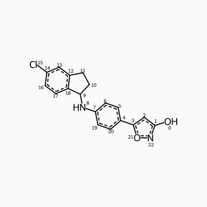 Oc1cc(-c2ccc(NC3CCc4cc(Cl)ccc43)cc2)on1